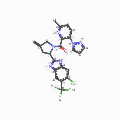 C=C1CC(c2nc3cc(Cl)c(C(F)(F)F)cc3[nH]2)N(C(=O)c2nc(C)ccc2-n2cccn2)C1